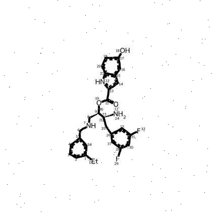 CCc1cccc(CNC[C@@H](OC(=O)c2cc3cc(O)ccc3[nH]2)[C@@H](N)Cc2cc(F)cc(F)c2)c1